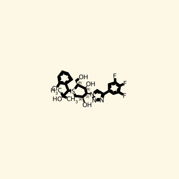 CC(C)(O)C(c1ccccc1Cl)[SH]1C[C@H](O)[C@H](n2cc(-c3cc(F)c(F)c(F)c3)nn2)[C@@H](O)[C@H]1CO